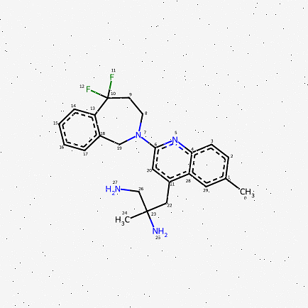 Cc1ccc2nc(N3CCC(F)(F)c4ccccc4C3)cc(CC(C)(N)CN)c2c1